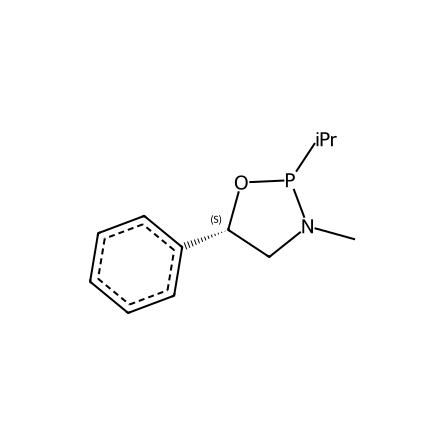 CC(C)P1O[C@@H](c2ccccc2)CN1C